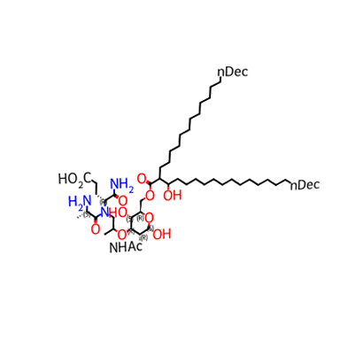 CCCCCCCCCCCCCCCCCCCCCCCC(O)C(CCCCCCCCCCCCCCCCCCCCCC)C(=O)OC[C@H]1O[C@H](O)[C@H](NC(C)=O)[C@@H](OC(C)CN(C(=O)[C@H](C)N)[C@H](CCC(=O)O)C(N)=O)[C@@H]1O